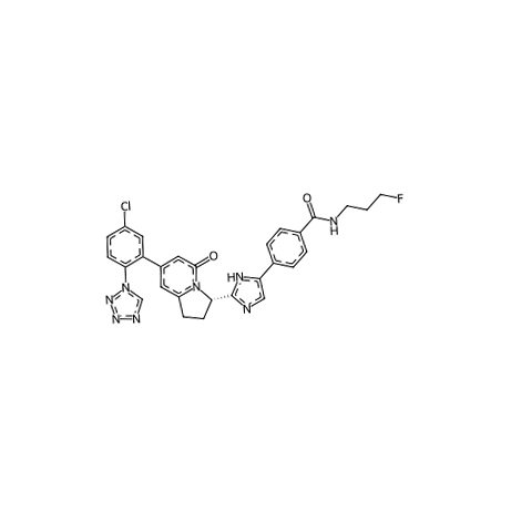 O=C(NCCCF)c1ccc(-c2cnc([C@@H]3CCc4cc(-c5cc(Cl)ccc5-n5cnnn5)cc(=O)n43)[nH]2)cc1